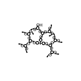 C#CCOc1cc(O)cc(COc2cc(COc3ccc(C(C)(c4ccc(OCc5cc(OCc6cc(OCC#C)cc(OCC#C)c6)cc(OCc6cc(OCC#C)cc(OCC#C)c6)c5)cc4)c4ccc(OCc5cc(OCc6cc(OCC#C)cc(OCC#C)c6)cc(OCc6cc(OCC#C)cc(OCC#C)c6)c5)cc4)cc3)cc(OCc3cc(OCC#C)cc(OCC#C)c3)c2)c1